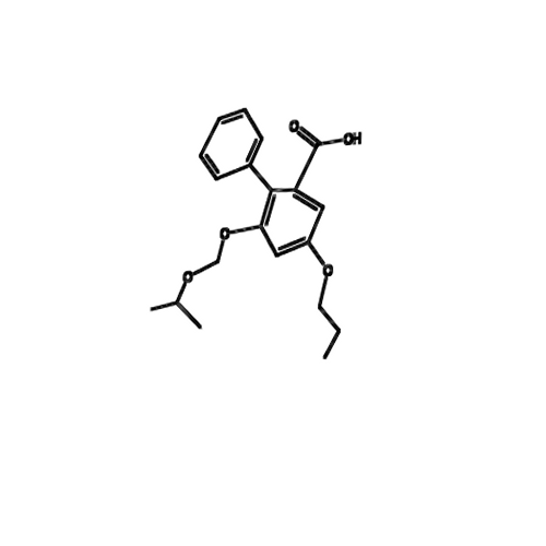 CCCOc1cc(OCOC(C)C)c(-c2ccccc2)c(C(=O)O)c1